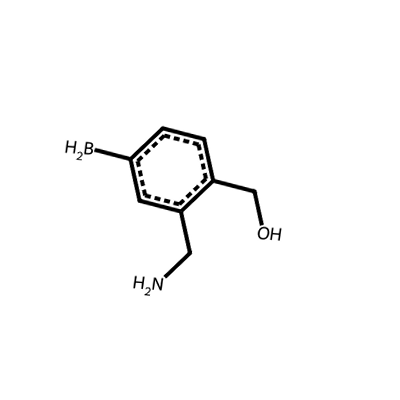 Bc1ccc(CO)c(CN)c1